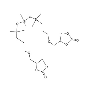 C[Si](C)(CCCOCC1COC(=O)O1)O[Si](C)(C)O[Si](C)(C)CCCOCC1COC(=O)O1